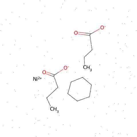 C1CCCCC1.CCCC(=O)[O-].CCCC(=O)[O-].[Ni+2]